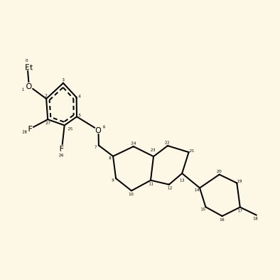 CCOc1ccc(OCC2CCC3CC(C4CCC(C)CC4)CCC3C2)c(F)c1F